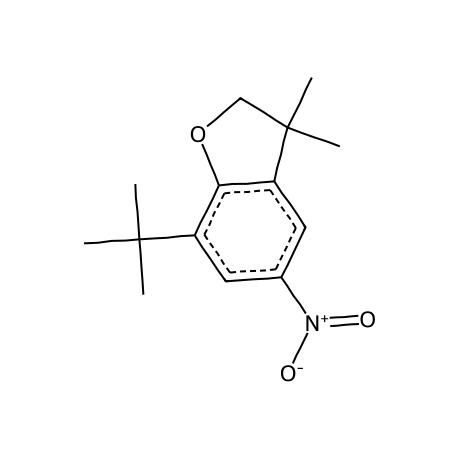 CC(C)(C)c1cc([N+](=O)[O-])cc2c1OCC2(C)C